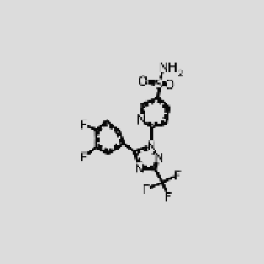 NS(=O)(=O)c1ccc(-n2nc(C(F)(F)F)nc2-c2ccc(F)c(F)c2)nc1